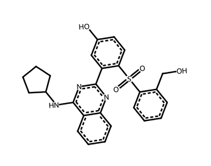 O=S(=O)(c1ccccc1CO)c1ccc(O)cc1-c1nc(NC2CCCC2)c2ccccc2n1